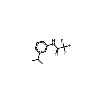 CC(C)c1cccc(NC(=O)C(F)(F)F)c1